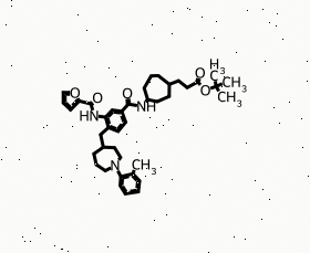 Cc1ccccc1N1CCCC(Cc2ccc(C(=O)NC3CCCC(CCC(=O)OC(C)(C)C)CC3)cc2NC(=O)c2ccco2)CC1